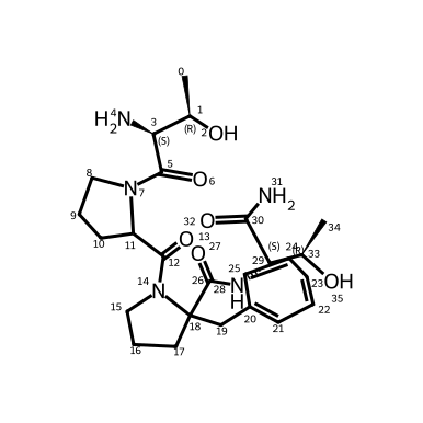 C[C@@H](O)[C@H](N)C(=O)N1CCCC1C(=O)N1CCCC1(Cc1ccccc1)C(=O)N[C@H](C(N)=O)[C@@H](C)O